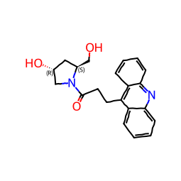 O=C(CCc1c2ccccc2nc2ccccc12)N1C[C@H](O)C[C@H]1CO